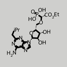 CCOC(=O)[C@H](OC[C@H]1O[C@@H](n2cnc3c(N)nc(CC(C)C)nc32)[C@H](O)[C@H]1O)P(=O)(O)O